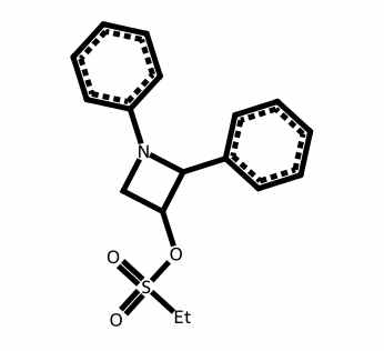 CCS(=O)(=O)OC1CN(c2ccccc2)C1c1ccccc1